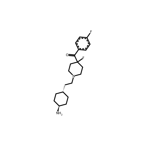 N[C@H]1CC[C@H](CCN2CCC(F)(C(=O)c3ccc(F)cc3)CC2)CC1